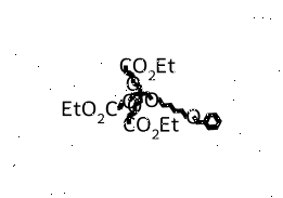 CCOC(=O)C=COCC(COC=CC(=O)OCC)(COC=CC(=O)OCC)COCCCCCCOCc1ccccc1